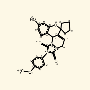 COc1ccc(-n2c(=O)n3n(c2=O)C2C(=CC3)C3(CCCC3)Oc3cc(O)ccc32)cc1